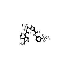 CC(NC(=O)c1ncnc2c1cnn2C)c1ncc(C(=O)Nc2cccc(S(=O)(=O)C(F)(F)F)c2)s1